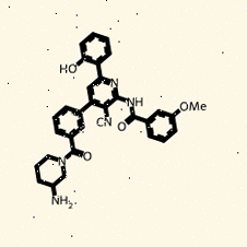 COc1cccc(C(=O)Nc2nc(-c3ccccc3O)cc(-c3cccc(C(=O)N4CCCC(N)C4)c3)c2C#N)c1